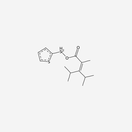 CC(C(=O)O[SiH2]c1cccs1)=C(C(C)C)C(C)C